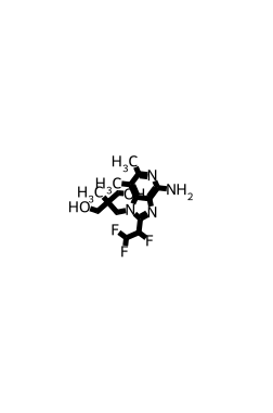 Cc1nc(N)c2nc(C(F)C(F)F)n(CC(C)(CO)CO)c2c1C